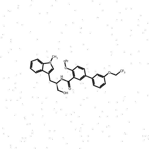 CCCOc1ccc(-c2cccc(OCC(F)(F)F)c2)cc1C(=O)N[C@@H](CO)Cc1cn(C)c2ccccc12